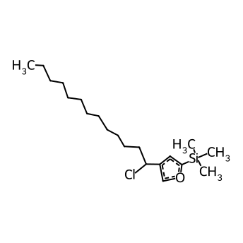 CCCCCCCCCCCCC(Cl)c1coc([Si](C)(C)C)c1